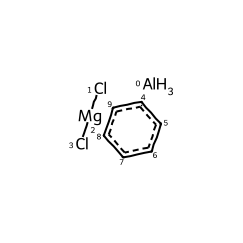 [AlH3].[Cl][Mg][Cl].[c]1ccccc1